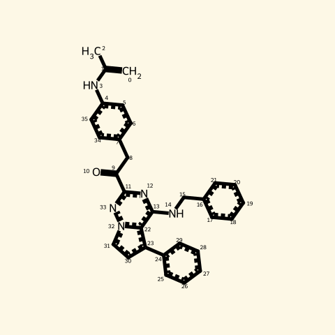 C=C(C)Nc1ccc(CC(=O)c2nc(NCc3ccccc3)c3c(-c4ccccc4)ccn3n2)cc1